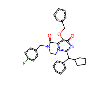 O=C1c2c(OCc3ccccc3)c(=O)nc(C(c3ccccc3)C3CCCC3)n2CCN1Cc1ccc(F)cc1